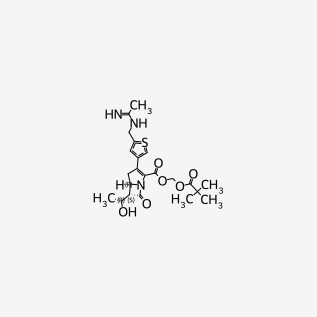 CC(=N)NCc1cc(C2=C(C(=O)OCOC(=O)C(C)(C)C)N3C(=O)[C@H]([C@@H](C)O)[C@H]3C2)cs1